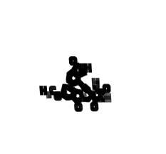 COc1ccc2c(c1)C(=O)N(C[C@@]1(C#Cc3cccc4c3CNC4=O)NC(=O)NC1=O)C2